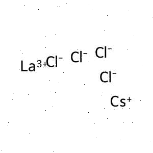 [Cl-].[Cl-].[Cl-].[Cl-].[Cs+].[La+3]